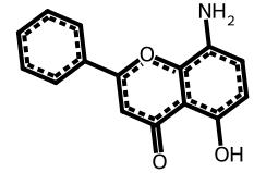 Nc1ccc(O)c2c(=O)cc(-c3ccccc3)oc12